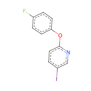 Fc1ccc(Oc2ccc(I)cn2)cc1